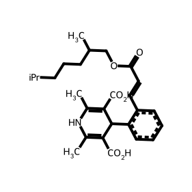 CC1=C(C(=O)O)C(c2ccccc2C=CC(=O)OCC(C)CCCC(C)C)C(C(=O)O)=C(C)N1